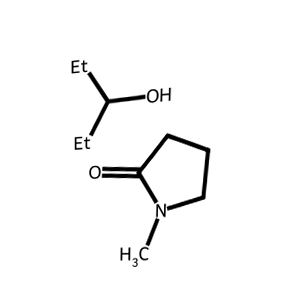 CCC(O)CC.CN1CCCC1=O